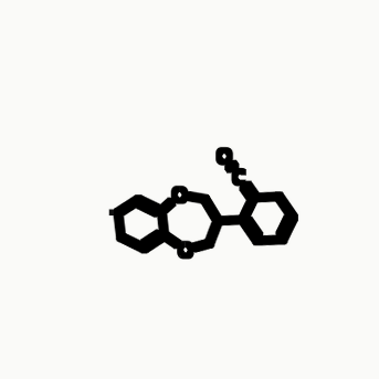 O=C=C1CC=CC=C1C1COC2=C[CH]CC=C2OC1